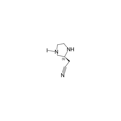 N#CC[C@H]1CN(I)CCN1